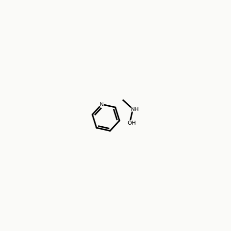 CNO.c1ccncc1